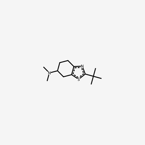 CN(C)C1CCc2nc(C(C)(C)C)sc2C1